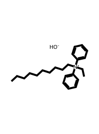 CCCCCCCCCC[N+](CC)(c1ccccc1)c1ccccc1.[OH-]